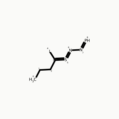 CCCC(I)=S=NN=P